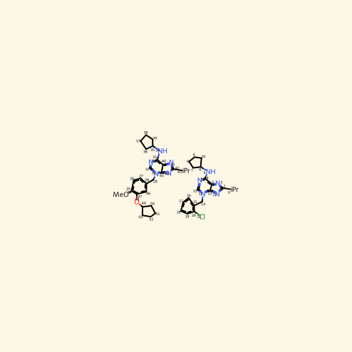 CC(C)c1nc2c(NC3CCCC3)ncn(Cc3ccccc3Cl)c-2n1.COc1ccc(Cn2cnc(NC3CCCC3)c3nc(C(C)C)nc2-3)cc1OC1CCCC1